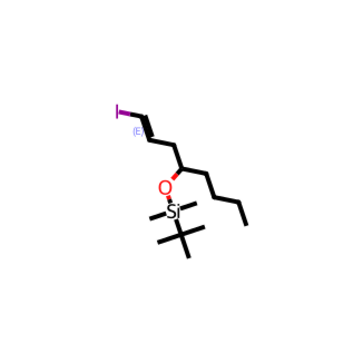 CCCCC(C/C=C/I)O[Si](C)(C)C(C)(C)C